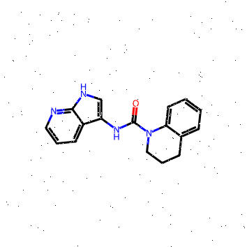 O=C(Nc1c[nH]c2ncccc12)N1CCCc2ccccc21